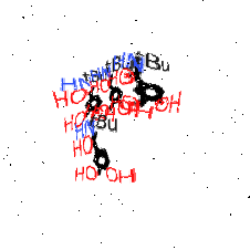 CC(C)(C)NCC(O)c1ccc(O)c(CO)c1.CC(C)(C)NCC(O)c1ccc(O)c(CO)c1.CC(C)(C)NCC(O)c1ccc(O)c(CO)c1.CC(C)(C)NCC(O)c1ccc(O)c(CO)c1